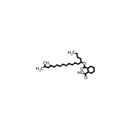 CCCCC(CCCCCCCCCCCC(C)C)OC(=O)C1CCCCC1C(=O)O